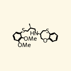 COc1cccc(SC[C@@H](C)CN[C@@H]2COc3ccccc3SC2)c1OC